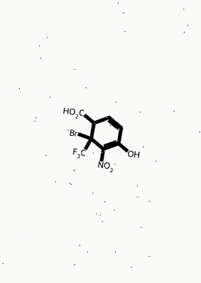 O=C(O)C1C=CC(O)=C([N+](=O)[O-])C1(Br)C(F)(F)F